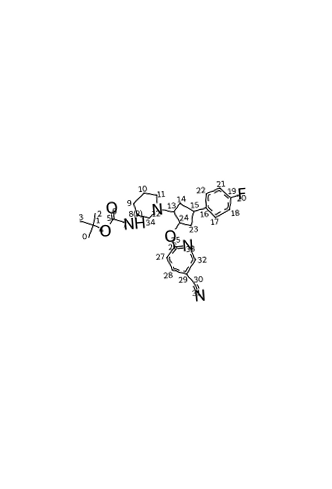 CC(C)(C)OC(=O)N[C@@H]1CCCN(C2CC(c3ccc(F)cc3)CC2Oc2ccc(C#N)cn2)C1